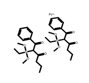 CCCC(=O)C(C(=O)c1ccccc1)[Si](CC)(OC)OC.CCCC(=O)C(C(=O)c1ccccc1)[Si](CC)(OC)OC.[Pt+2]